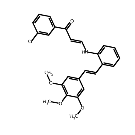 COc1cc(C=Cc2ccccc2NC=CC(=O)c2cccc(Cl)c2)cc(OC)c1OC